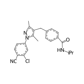 Cc1nn(-c2ccc(C#N)c(Cl)c2)c(C)c1Cc1ccc(C(=O)NC(C)C)cc1